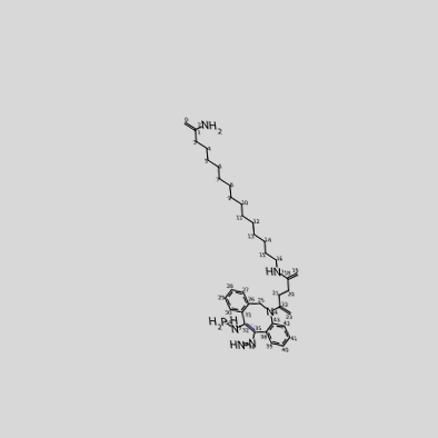 C=C(N)CCCCCCCCCCCCCCNC(=C)CCC(=C)N1Cc2ccccc2/C(NP)=C(/N=N)c2ccccc21